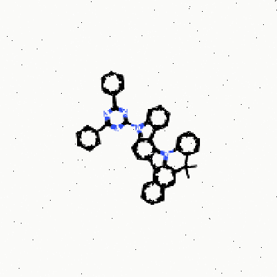 CC1(C)c2ccccc2-n2c3c1cc1ccccc1c3c1ccc3c(c4ccccc4n3-c3nc(-c4ccccc4)nc(-c4ccccc4)n3)c12